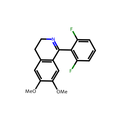 COc1cc2c(cc1OC)C(c1c(F)cccc1F)=NCC2